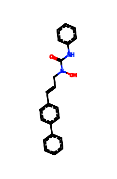 O=C(Nc1ccccc1)N(O)CC=Cc1ccc(-c2ccccc2)cc1